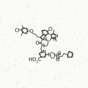 Cc1cc(OCCCc2c3n(c4c(-c5c(C)nn(C)c5C)c(Cl)ccc24)CCCN(Cc2cc(C(=O)O)cc(N4CCN(S(=O)(=O)CCc5ccccc5)CC4)n2)C3=O)cc(C)c1Cl